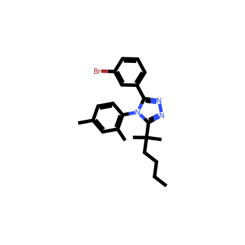 CCCCC(C)(C)c1nnc(-c2cccc(Br)c2)n1-c1ccc(C)cc1C